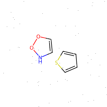 C1=COON1.c1ccsc1